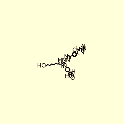 C[C@@H](Cn1cnnn1)Oc1cc(-c2cnc(Nc3cn([C@H]4CC[C@H](N5[C@@H]6CC[C@H]5COC6)CC4)nc3OCCCCCCCO)nc2)ccc1C#N